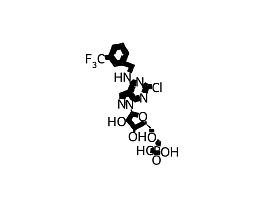 O=P(O)(O)COC[C@H]1O[C@@H](n2ncc3c(NCc4cccc(C(F)(F)F)c4)nc(Cl)nc32)[C@H](O)[C@@H]1O